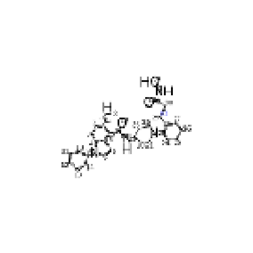 Cc1ccc2c(ccn2-c2ccccc2)c1C(=O)NC1CCN(c2ccccc2/C=C/C(=O)NO)CC1